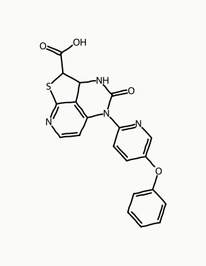 O=C(O)C1Sc2nccc3c2C1NC(=O)N3c1ccc(Oc2ccccc2)cn1